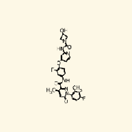 Cc1cc(F)ccc1-n1nc(C(=O)Nc2ccc(Oc3ccnc(NC(=O)N4CC(O)C4)c3)c(F)c2)c(C)cc1=O